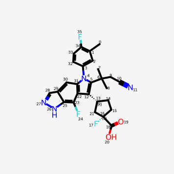 Cc1cc(-n2c(C(C)(C)CC#N)c([C@@H]3CC[C@@](F)(C(=O)O)C3)c3c(F)c4[nH]ncc4cc32)ccc1F